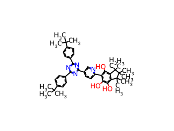 CC(C)(C)c1ccc(-c2nc(-c3ccc(C(C)(C)C)cc3)nc(-c3ccc(-c4c(O)c(O)c5c(c4O)C(C)(C)C(C)(C)C5(C)C)nc3)n2)cc1